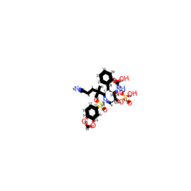 CC(C)(CCC#N)CN(C[C@@H](OP(=O)(O)O)[C@H](Cc1ccccc1)NC(=O)O)S(=O)(=O)c1ccc2c(c1)OCO2